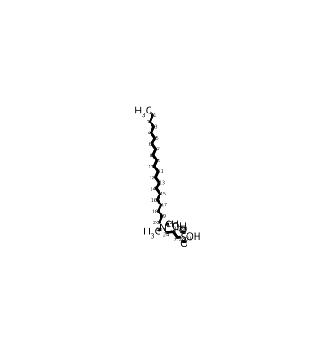 CCCCCCCCCCCCCCCCCCCCC[N+](C)(C)CC(O)CS(=O)(=O)O